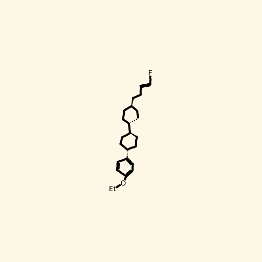 CCOc1ccc([C@H]2CC[C@H]([C@H]3CC[C@H](CCC=CF)CC3)CC2)cc1